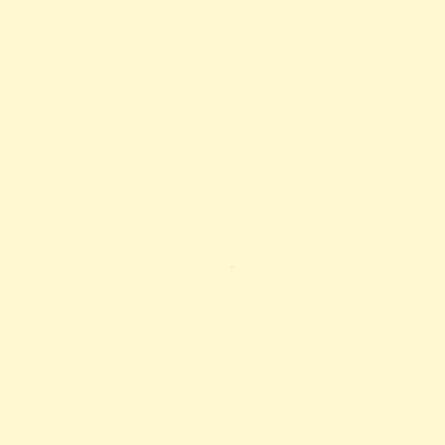 CC(C)(C)OC(=O)C(Cc1ccccc1)C(=O)O